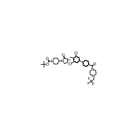 CC(C)(C)OC(=O)N1CCC(N2CC[C@@H](Cc3c(Cl)cc(-c4ccc(C(=O)N5CCN(CC(F)(F)F)CC5)cc4)cc3Cl)C2=O)CC1